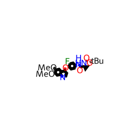 COc1cc2nccc(Oc3ccc(NC(=O)C4(NC(=O)OC(C)(C)C)CC4)cc3F)c2cc1OC